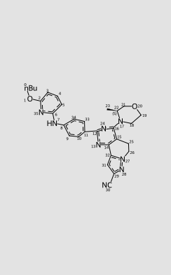 CCCCOc1cccc(Nc2ccc(-c3nc4c(c(N5CCOC[C@@H]5C)n3)CCn3nc(C#N)cc3-4)cc2)n1